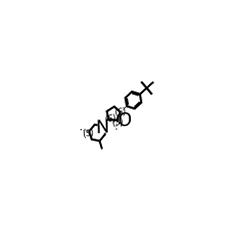 CC1C[C@H](C)CN([C@H]2CC[C@@]3(c4ccc(C(C)(C)C)cc4)O[C@@]23C)C1